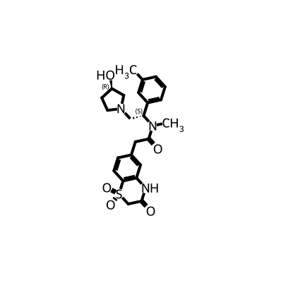 Cc1cccc([C@@H](CN2CC[C@@H](O)C2)N(C)C(=O)Cc2ccc3c(c2)NC(=O)CS3(=O)=O)c1